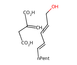 C=C(CC(=O)O)C(=O)O.CCCCCC=CC=CCO